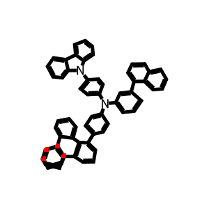 c1ccc(-c2ccccc2-c2c(-c3ccccc3)cccc2-c2ccc(N(c3ccc(-n4c5ccccc5c5ccccc54)cc3)c3cccc(-c4cccc5ccccc45)c3)cc2)cc1